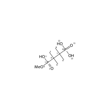 COP(=O)(O)C(C)(C)C(C)(C)P(=O)(O)O